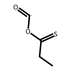 CCC(=S)O[C]=O